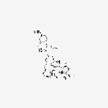 COc1ccc(C(O)C(=O)N(CCCc2ccccc2)Cc2nc(C(=O)NS(C)(=O)=O)c(C)s2)c(F)c1